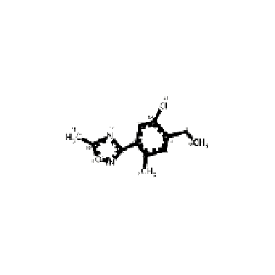 CCc1cc(C)c(-c2noc(C)n2)cc1Cl